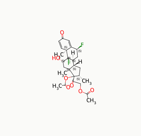 CC(=O)OCC(=O)C1(OC(C)=O)[C@@H](C)C[C@H]2[C@@H]3C[C@H](F)C4=CC(=O)C=C[C@]4(C)[C@@]3(F)[C@@H](O)C[C@@]21C